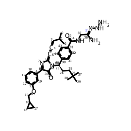 CC(C)C=C=C=C1N=C(c2cccc(OCC3CC3)c2)C(=O)N1[C@H](CCC(C)(C)C)c1ccc(C(=O)NC/C(N)=N/NN)cc1